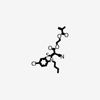 C=C(C)C(=O)OCCOC(=O)/C(C#N)=C1\Sc2cc(Cl)ccc2N1CCCC